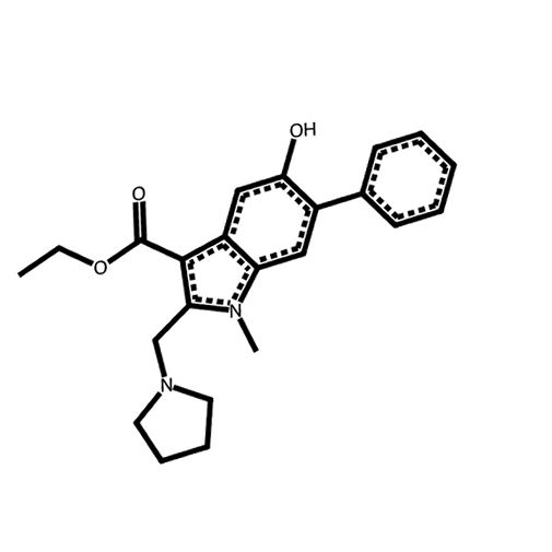 CCOC(=O)c1c(CN2CCCC2)n(C)c2cc(-c3ccccc3)c(O)cc12